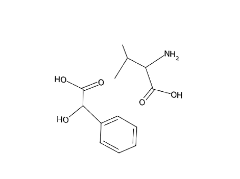 CC(C)C(N)C(=O)O.O=C(O)C(O)c1ccccc1